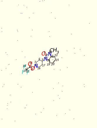 Cn1c(=O)n(C2CCN(OC(=O)C(F)(F)F)CC2)c2ccccc21